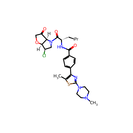 Cc1sc(N2CCN(C)CC2)nc1-c1ccc(C(=O)N[C@@H](CC(C)C)C(=O)N2C[C@@H](Cl)[C@H]3OCC(=O)[C@H]32)cc1